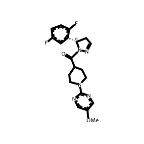 COc1cnc(N2CCC(C(=O)N3N=CC[C@H]3c3cc(F)ccc3F)CC2)nc1